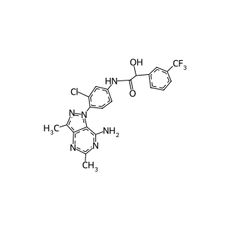 Cc1nc(N)c2c(n1)c(C)nn2-c1ccc(NC(=O)C(O)c2cccc(C(F)(F)F)c2)cc1Cl